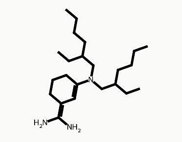 CCCCC(CC)CN(CC(CC)CCCC)C1=CC(=C(N)N)CCC1